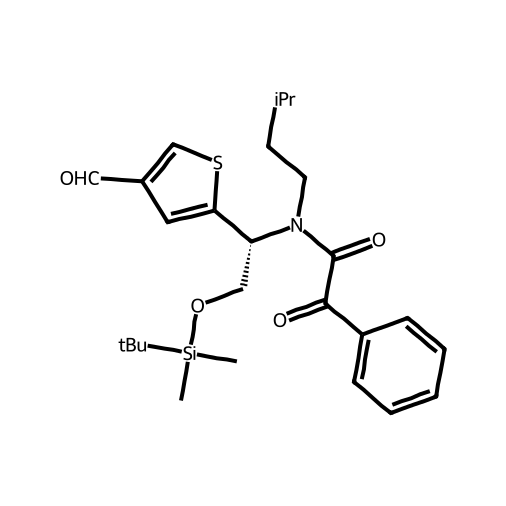 CC(C)CCN(C(=O)C(=O)c1ccccc1)[C@H](CO[Si](C)(C)C(C)(C)C)c1cc(C=O)cs1